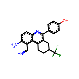 N=Cc1c(N)ccc2nc(-c3ccc(O)cc3)c3c(c12)CCC(C(F)(F)F)C3